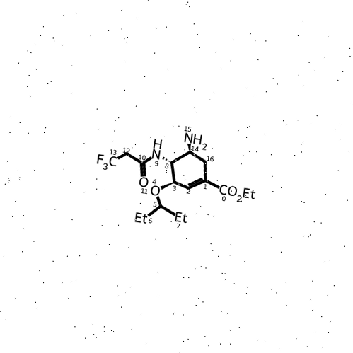 CCOC(=O)C1=C[C@@H](OC(CC)CC)[C@H](NC(=O)CC(F)(F)F)[C@@H](N)C1